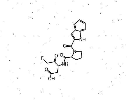 O=C(O)C[C@H](NC(=O)[C@@H]1CCCN1C(=O)c1cc2ccccc2[nH]1)C(=O)CF